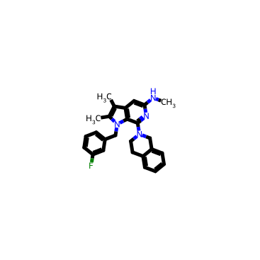 CNc1cc2c(C)c(C)n(Cc3cccc(F)c3)c2c(N2CCc3ccccc3C2)n1